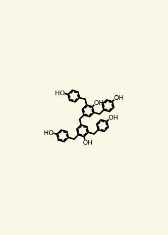 Oc1ccc(Cc2cc(Cc3cc(Cc4ccc(O)cc4)c(O)c(Cc4ccc(O)cc4)c3)cc(Cc3ccc(O)cc3)c2O)cc1